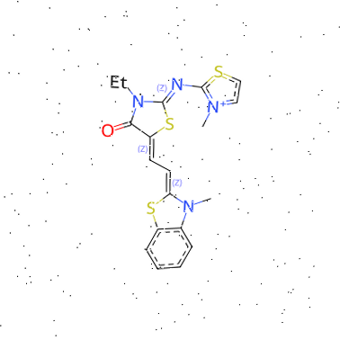 CCN1C(=O)/C(=C/C=C2\Sc3ccccc3N2C)S/C1=N\c1scc[n+]1C